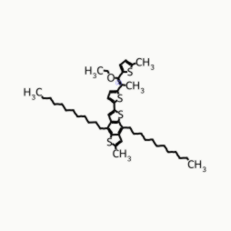 CCCCCCCCCCCCc1c2cc(-c3ccc(/C(C)=C(\OCC)c4ccc(C)s4)s3)sc2c(CCCCCCCCCCCC)c2cc(C)sc12